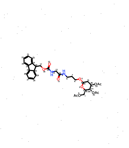 CC(=O)OC[C@H]1O[C@@H](OCCCNC(=O)CNC(=O)OCC2c3ccccc3-c3ccccc32)C[C@@H](OC(C)=O)[C@H]1OC(C)=O